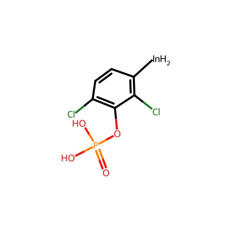 O=P(O)(O)Oc1c(Cl)cc[c]([InH2])c1Cl